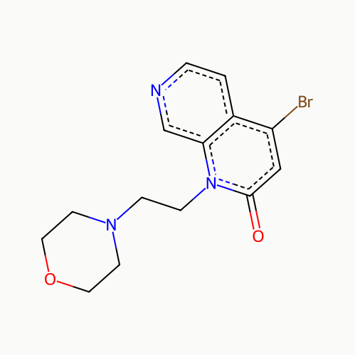 O=c1cc(Br)c2ccncc2n1CCN1CCOCC1